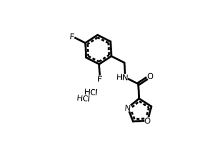 Cl.Cl.O=C(NCc1ccc(F)cc1F)c1cocn1